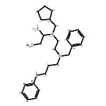 CCC(C)N(CCN(CCCSc1ccccc1)Cc1ccccc1)CC1CCCC1